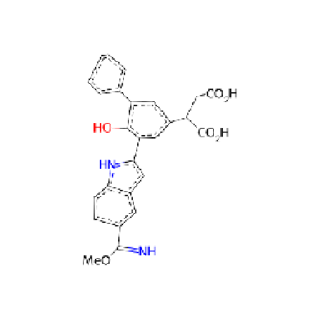 COC(=N)c1ccc2[nH]c(-c3cc(C(CC(=O)O)C(=O)O)cc(-c4ccccc4)c3O)cc2c1